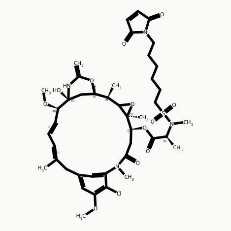 C=C1N[C@]2(O)C[C@H](O1)[C@@H](C)C1O[C@@]1(C)[C@@H](OC(=O)[C@H](C)N(C)S(=O)(=O)CCCCCCN1C(=O)C=CC1=O)CC(=O)N(C)c1cc(cc(OC)c1Cl)C/C(C)=C/C=C/[C@H]2OC